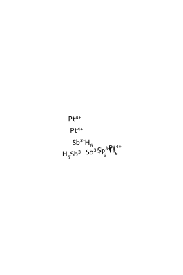 [Pt+4].[Pt+4].[Pt+4].[SbH6-3].[SbH6-3].[SbH6-3].[SbH6-3]